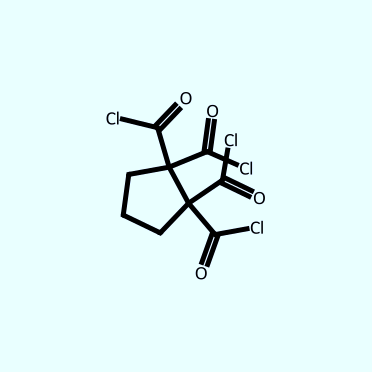 O=C(Cl)C1(C(=O)Cl)CCCC1(C(=O)Cl)C(=O)Cl